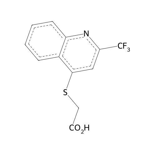 O=C(O)CSc1cc(C(F)(F)F)nc2ccccc12